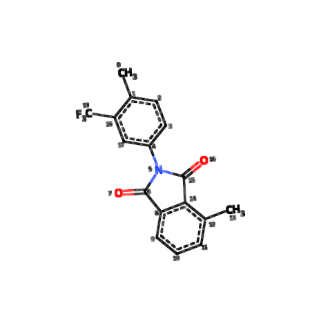 Cc1ccc(N2C(=O)c3cccc(C)c3C2=O)cc1C(F)(F)F